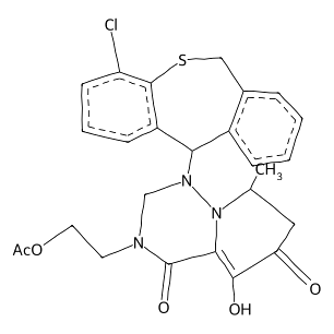 CC(=O)OCCN1CN(C2c3ccccc3CSc3c(Cl)cccc32)N2C(=C(O)C(=O)CC2C)C1=O